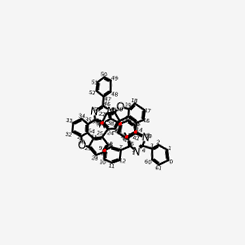 c1ccc(-c2nc(-c3ccccc3)nc(-c3cccc4oc5ccc(-c6cccc7oc8cccc(-c9nc(-c%10ccccc%10)nc(-c%10ccccc%10)n9)c8c67)cc5c34)n2)cc1